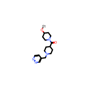 CCOC1CCN(C(=O)C2CCN(Cc3ccnnc3)CC2)CC1